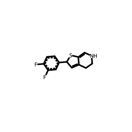 Fc1ccc(C2C=C3CCNC=C3S2)cc1F